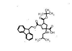 CC(C)CNC1(C(=O)O)CC(C(=O)OC(C)(C)C)N(C(=O)OCC2c3ccccc3-c3ccccc32)C1